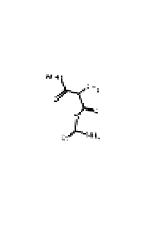 CCC(N)OC(=O)C(C)C(=O)OC